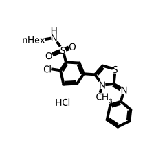 CCCCCCNS(=O)(=O)c1cc(-c2csc(=Nc3ccccc3)n2C)ccc1Cl.Cl